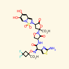 Nc1nc(/C(=N/OC2(C(=O)O)CC(F)(F)C2)C(=O)N[C@H]2CON(C3(C(=O)O)CC(N4C=C5C=C(O)C(O)=CN5S4(=O)=O)C(=O)O3)C2=O)cs1